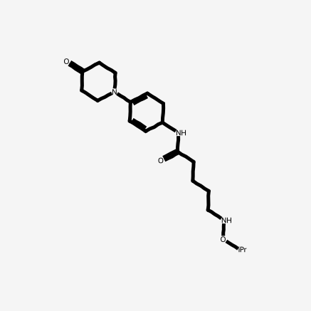 CC(C)ONCCCCC(=O)NC1C=CC(N2CCC(=O)CC2)=CC1